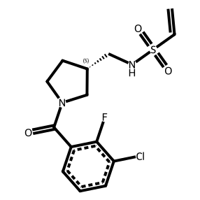 C=CS(=O)(=O)NC[C@H]1CCN(C(=O)c2cccc(Cl)c2F)C1